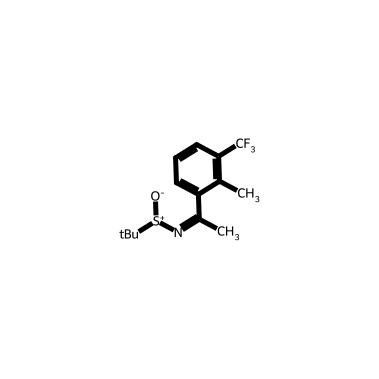 C/C(=N/[S+]([O-])C(C)(C)C)c1cccc(C(F)(F)F)c1C